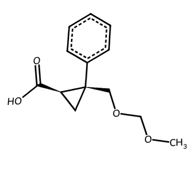 COCOC[C@@]1(c2ccccc2)C[C@H]1C(=O)O